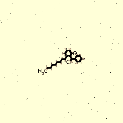 CCCCCCCCCc1cccc2c1C(Cl)c1ccccc1O2